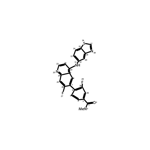 CNC(=O)c1ccc(-c2cc3c(Nc4ccc5scnc5c4)ccnc3cc2F)c(F)c1